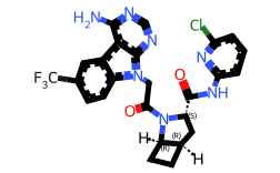 Nc1ncnc2c1c1cc(C(F)(F)F)ccc1n2CC(=O)N1[C@@H]2CC[C@@H]2C[C@H]1C(=O)Nc1cccc(Cl)n1